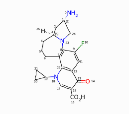 N[C@H]1C[C@@H]2CCCc3c(c(F)cc4c(=O)c(C(=O)O)cn(C5CC5)c34)N2C1